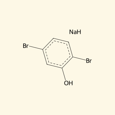 Oc1cc(Br)ccc1Br.[NaH]